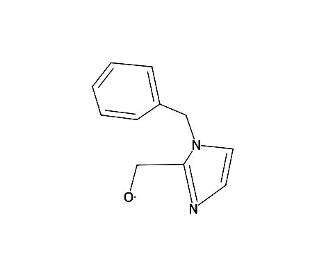 [O]Cc1nccn1Cc1ccccc1